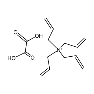 C=CC[N+](CC=C)(CC=C)CC=C.O=C(O)C(=O)O